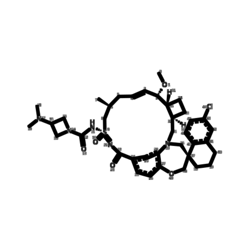 CO[C@H]1/C=C/C[C@H](C)C[S@@](=O)(NC(=O)N2CC(N(C)C)C2)=NC(=O)c2ccc3c(c2)N(C[C@@H]2CC[C@H]21)C[C@@]1(CCCc2cc(Cl)ccc21)CO3